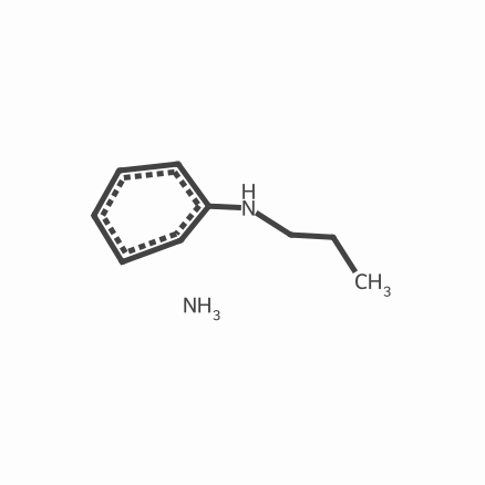 CCCNc1ccccc1.N